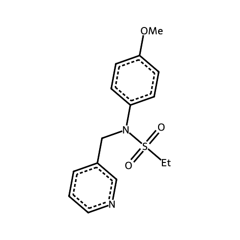 CCS(=O)(=O)N(Cc1cccnc1)c1ccc(OC)cc1